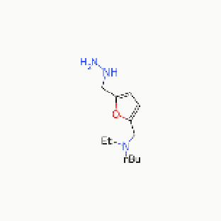 CCCCN(CC)Cc1ccc(CNN)o1